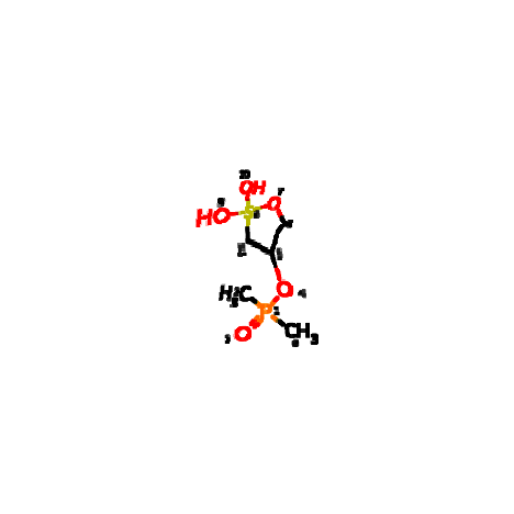 CP(C)(=O)OC1COS(O)(O)C1